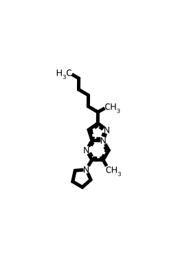 CCCCCC(C)c1cc2nc(N3CCCC3)c(C)cn2n1